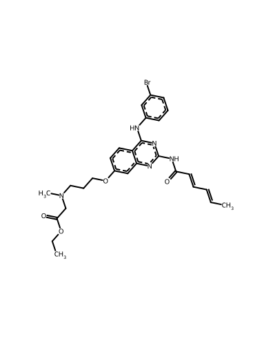 C/C=C/C=C/C(=O)Nc1nc(Nc2cccc(Br)c2)c2ccc(OCCCN(C)CC(=O)OCC)cc2n1